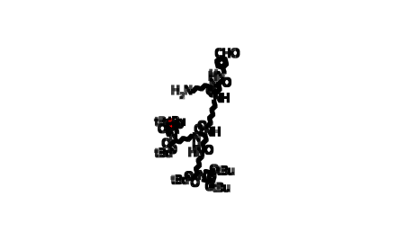 CC(C)(C)OC(=O)CN(CC(=O)OC(C)(C)C)C(CCCCNC(=O)CCC(NC(=O)CCCCCCNC(=O)CC(NC(=O)CCCCN)C(=O)NCc1ccc(C=O)cc1)C(=O)NCCCCC(C(=O)OC(C)(C)C)N(CC(=O)OC(C)(C)C)CC(=O)OC(C)(C)C)C(=O)OC(C)(C)C